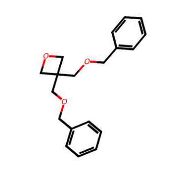 c1ccc(COCC2(COCc3ccccc3)COC2)cc1